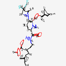 COC(=O)C(CNC(=O)c1ccc(N2CC(F)(F)C2)c(OCC2CC2)n1)CC(C)C